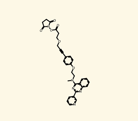 CN(CCOc1ccc(C#CCOCCC(=O)ON2C(=O)CCC2=O)cc1)c1nc(-c2cccnc2)nc2ccccc12